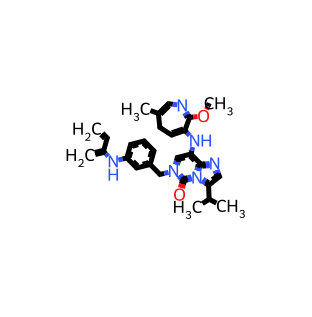 C=CC(=C)Nc1cccc(Cn2cc(NC3=CCC(C)=CN=C3OC)c3ncc(C(C)C)n3c2=O)c1